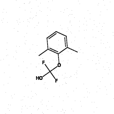 Cc1cccc(C)c1OC(O)(F)F